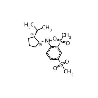 CC(C)[C@@H]1CCC[C@H]1Nc1ccc(S(C)(=O)=O)cc1S(C)(=O)=O